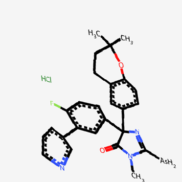 CN1C(=O)C(c2ccc3c(c2)CCC(C)(C)O3)(c2ccc(F)c(-c3cccnc3)c2)N=C1[AsH2].Cl